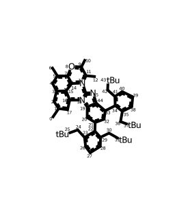 Cc1cc2cc(C)c3oc(C)c(C)n4c3c2c(c1)n1c2cc(-c3c(CC(C)(C)C)cccc3CC(C)(C)C)cc(-c3c(CC(C)(C)C)cccc3CC(C)(C)C)c2nc41